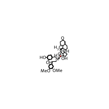 COc1ccc(CCN(CC(=O)[C@@]2(O)CC[C@H]3[C@@H]4CCC5=CC(=O)CC[C@]5(C)C4=CC[C@@]32C)Cc2ccc(O)c(O)c2)cc1OC